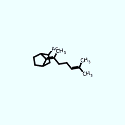 CC(=O)C1CC2CCC1C2=C(C)CCC=C(C)C